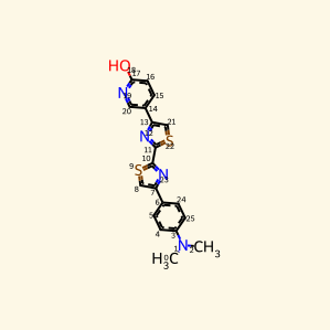 CN(C)c1ccc(-c2csc(-c3nc(-c4ccc(O)nc4)cs3)n2)cc1